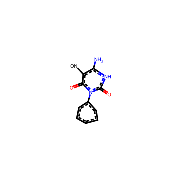 Nc1[nH]c(=O)n(-c2ccccc2)c(=O)c1N=O